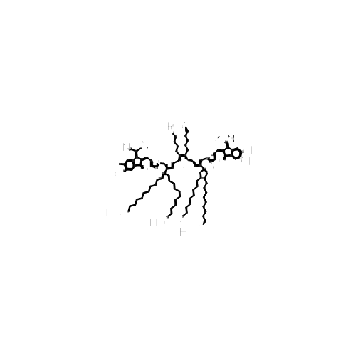 [C-]#[N+]C([N+]#[C-])=C1/C(=C/c2cc3c(s2)-c2sc(-c4sc(-c5cc6c(s5)-c5sc(/C=C7\C(=O)c8cc(Cl)c(Cl)cc8C7=C(C#N)C#N)cc5OC6(CCCCCCCCCCCC)CCCCCCCCCCCC)c(CCCCCC)c4CCCCCC)cc2C(CCCCCCCCCCCC)(CCCCCCCCCCCC)O3)C(=O)c2cc(Cl)c(Cl)cc21